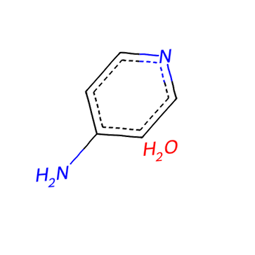 Nc1ccncc1.O